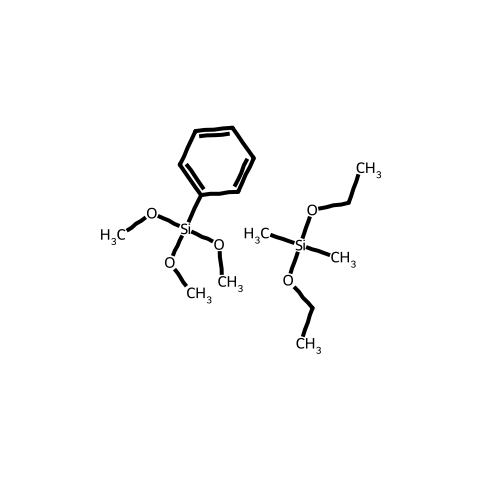 CCO[Si](C)(C)OCC.CO[Si](OC)(OC)c1ccccc1